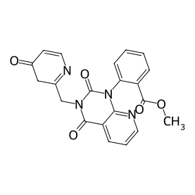 COC(=O)c1ccccc1-n1c(=O)n(CC2=NC=CC(=O)C2)c(=O)c2cccnc21